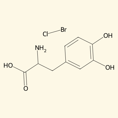 ClBr.NC(Cc1ccc(O)c(O)c1)C(=O)O